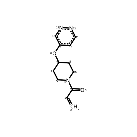 C=CC(=O)N1CCC(Oc2ccnnc2)CC1